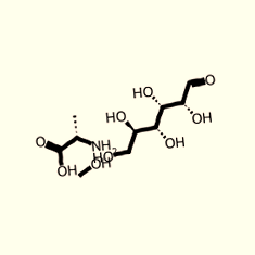 CO.C[C@H](N)C(=O)O.O=C[C@H](O)[C@@H](O)[C@H](O)[C@H](O)CO